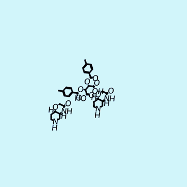 Cc1ccc(C(=O)OC(C(=O)O)C(OC(=O)c2ccc(C)cc2)C(=O)O)cc1.O=C1CO[C@H]2CCNC[C@H]2N1.O=C1CO[C@H]2CCNC[C@H]2N1